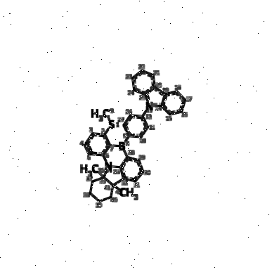 CSc1cc#cc2c1B(c1ccc(-n3c4ccccc4c4ccccc43)cc1)c1cccc3c1N2C1(C)CCCCC31C